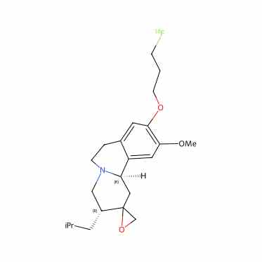 COc1cc2c(cc1OCCC[18F])CCN1C[C@@H](CC(C)C)C3(CO3)C[C@H]21